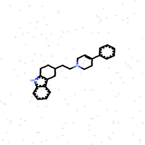 C1=C(c2ccccc2)CCN(CCC2CCc3[nH]c4ccccc4c3C2)C1